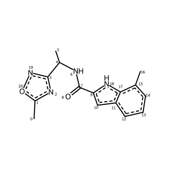 Cc1nc(C(C)NC(=O)c2cc3cccc(C)c3[nH]2)no1